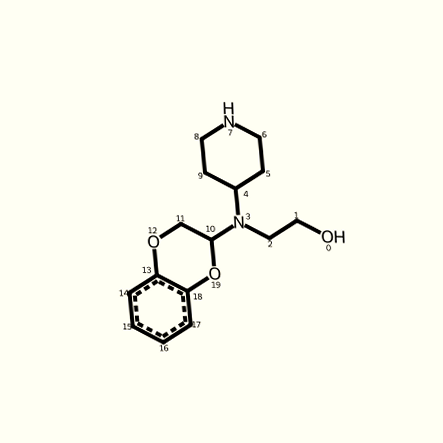 OCCN(C1CCNCC1)C1COc2ccccc2O1